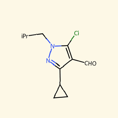 CC(C)Cn1nc(C2CC2)c(C=O)c1Cl